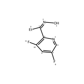 CC/C(=N/O)c1ncc(F)cc1F